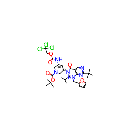 CC(C)CN(C(=O)c1cnc(C(C)(C)C)nc1NCc1ccco1)[C@H]1C[C@@H](NC(=O)OCC(Cl)(Cl)Cl)CN(C(=O)OC(C)(C)C)C1